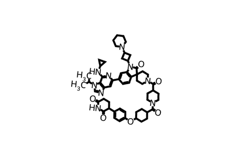 CC(C)n1cnc2cc(-c3ccc4c(c3)N(C3CC(N5CCCCC5)C3)C(=O)C43CCN(C(=O)C4CCN(C(=O)C5CCC(Oc6ccc(C7CCC(=O)NC7=O)cc6)CC5)CC4)CC3)nc(NC3CC3)c21